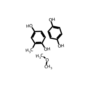 COC.Cc1cc(O)ccc1O.Oc1ccc(O)cc1